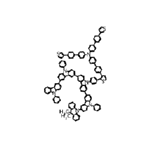 CC1(C)c2ccccc2N(c2ccc3c(c2)c2cc(-c4ccc5c6cc(-c7ccc8c(c7)c7cc(-c9ccc%10c(c9)c9ccccc9n%10-c9ccccc9)ccc7n8-c7ccccc7)ccc6n(-c6ccc(-c7sccc7-c7ccc(-c8ccc(N(c9ccc(-c%10ccc(-c%11ccsc%11)cc%10)cc9)c9ccc(-c%10ccc(-c%11ccsc%11)cc%10)cc9)cc8)cc7)cc6)c5c4)ccc2n3-c2ccccc2)c2ccccc21